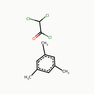 Cc1cc(C)cc(C)c1.O=C(Cl)C(Cl)Cl